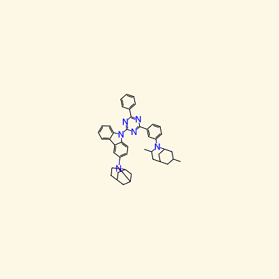 CC1CC2CC(C)N(c3cccc(-c4nc(-c5ccccc5)nc(-n5c6ccccc6c6cc(N7C8CC9CC(C8)CC7C9)ccc65)n4)c3)C(C1)C2